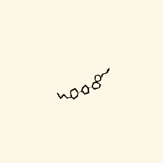 CCCCO[C@@H]1CCC[C@H](C2CCC([C@H]3CC[C@H](CCCC)CC3)CC2)C1